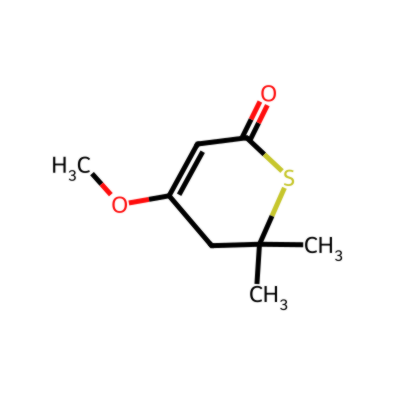 COC1=CC(=O)SC(C)(C)C1